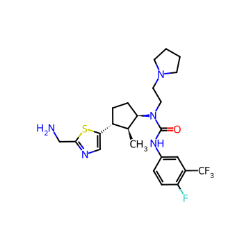 C[C@@H]1[C@H](N(CCN2CCCC2)C(=O)Nc2ccc(F)c(C(F)(F)F)c2)CC[C@H]1c1cnc(CN)s1